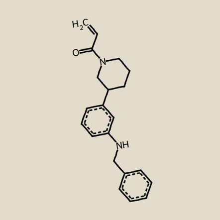 C=CC(=O)N1CCCC(c2cccc(NCc3ccccc3)c2)C1